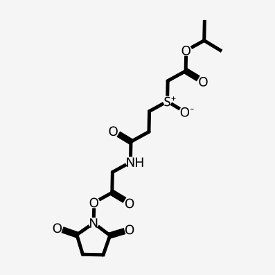 CC(C)OC(=O)C[S+]([O-])CCC(=O)NCC(=O)ON1C(=O)CCC1=O